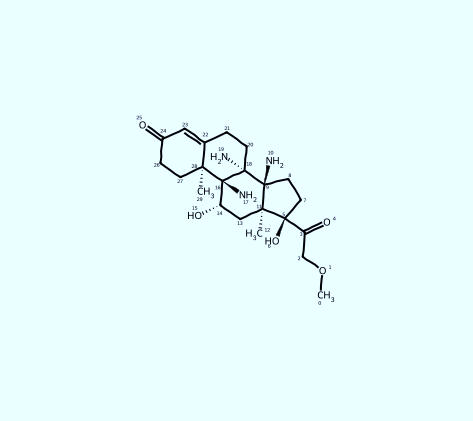 COCC(=O)[C@@]1(O)CC[C@]2(N)[C@]1(C)C[C@H](O)[C@@]1(N)[C@@]2(N)CCC2=CC(=O)CC[C@@]21C